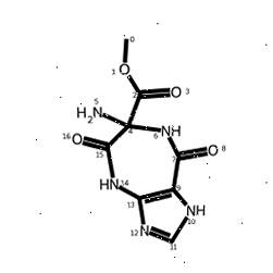 COC(=O)C1(N)NC(=O)c2[nH]cnc2NC1=O